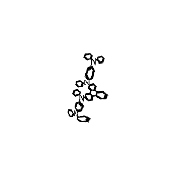 c1ccc(N(c2ccccc2)c2ccc(N(c3ccccc3)c3ccc4c5ccccc5c5ccc(N(c6ccccc6)c6ccc(N(c7ccccc7)c7ccccc7)cc6)cc5c4c3)cc2)cc1